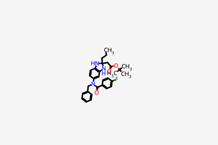 CCCC1(CC(=O)OC(C)(C)C)Nc2ccc(N(Cc3ccccc3)C(=O)c3ccc(F)cc3)cc2N1